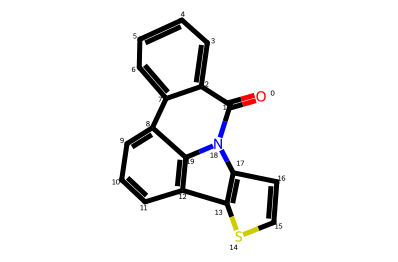 O=c1c2ccccc2c2cccc3c4sccc4n1c23